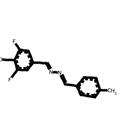 Cc1ccc(C=NN=Cc2cc(F)c(Cl)c(F)c2)cc1